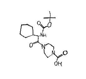 CC(C)(C)OC(=O)N[C@H](C(=O)N1CCN(C(=O)O)CC1)C1CCCCC1